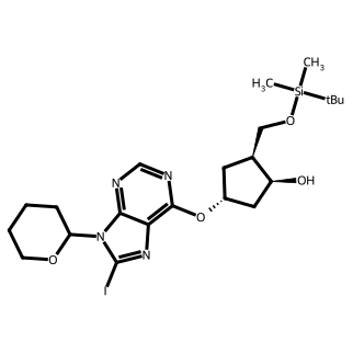 CC(C)(C)[Si](C)(C)OC[C@@H]1C[C@@H](Oc2ncnc3c2nc(I)n3C2CCCCO2)C[C@@H]1O